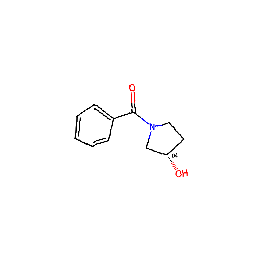 O=C(c1ccccc1)N1CC[C@H](O)C1